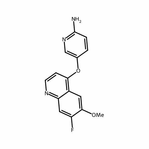 COc1cc2c(Oc3ccc(N)nc3)ccnc2cc1F